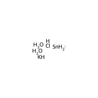 Cl.O.O.[KH].[SnH2]